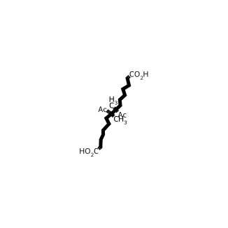 CC(=O)C(C)(CCCCCCC(=O)O)C(C)(CCCCCCC(=O)O)C(C)=O